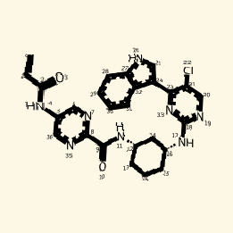 C=CC(=O)Nc1cnc(C(=O)N[C@H]2CCC[C@@H](Nc3ncc(Cl)c(-c4c[nH]c5ccccc45)n3)C2)nc1